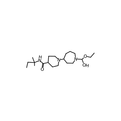 CCOC(O)N1CCCC(N2CCC(C(=O)NC(C)(C)CC)CC2)CC1